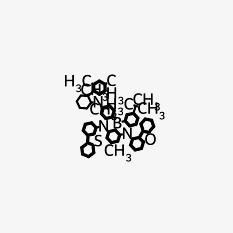 Cc1cc2c3c(c1)N(c1cccc4oc5ccccc5c14)c1ccc(C(C)(C)C)cc1B3c1ccc(N3c4cc(C)cc(C)c4C4(C)CCCCC34C)cc1N2c1cccc2c1sc1ccccc12